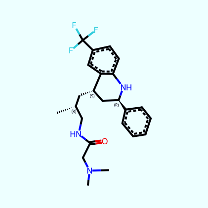 C[C@@H](CNC(=O)CN(C)C)C[C@H]1C[C@H](c2ccccc2)Nc2ccc(C(F)(F)F)cc21